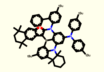 CC(C)(C)c1ccc(N(c2ccc(C(C)(C)C)cc2)c2cc3c4c(c2)N2c5c(cc(C(C)(C)C)cc5C5(C)CCCCC25C)B4c2c(oc4cc5c(cc24)C(C)(C)CCC5(C)C)N3c2ccc(C(C)(C)C)cc2-c2ccccc2)cc1